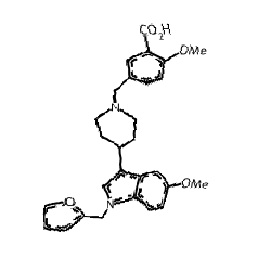 COc1ccc2c(c1)c(C1CCN(Cc3ccc(OC)c(C(=O)O)c3)CC1)cn2Cc1ccco1